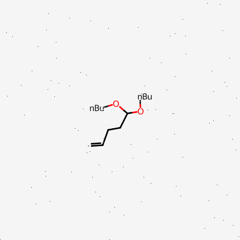 [CH]=CCCC(OCCCC)OCCCC